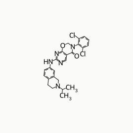 CC(C)N1CCc2ccc(Nc3ncc4c(n3)OCN(c3c(Cl)cccc3Cl)C4=O)cc2C1